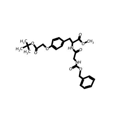 COC(=O)C(Cc1ccc(OCC(=O)OC(C)(C)C)cc1)NC(=O)CNC(=O)OCc1ccccc1